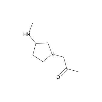 CNC1CCN(CC(C)=O)C1